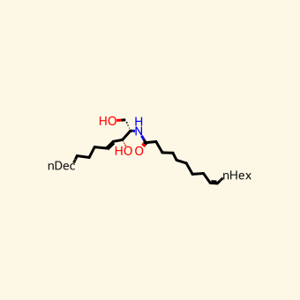 CCCCCC/C=C\CCCCCCCC(=O)N[C@@H](CO)[C@H](O)/C=C/CCCCCCCCCCCCC